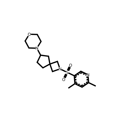 Cc1cc(C)c(S(=O)(=O)N2CC3(CCC(N4CCOCC4)C3)C2)cn1